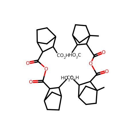 CC12CCC(C1)C(C(=O)O)C2C(=O)OC(=O)C1C(C(=O)O)C2CCC1(C)C2.O=C(O)C1C2CCC(C2)C1C(=O)OC(=O)C1C2CCC(C2)C1C(=O)O